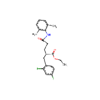 CCOC(=O)C(CCC(=O)Nc1c(C)cccc1C)Cc1ccc(F)cc1F